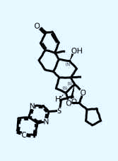 CC12C=CC(=O)C=C1CCC1C2[C@@H](O)CC2(C)C1C[C@@H]1OC(C3CCCC3)O[C@]12C(=O)CSc1cnc2ccccc2n1